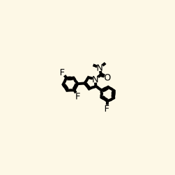 CN(C)C(=O)N1CC(c2cc(F)ccc2F)=CC1c1cccc(F)c1